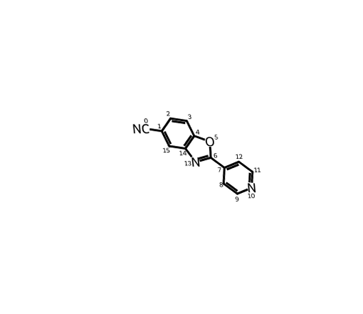 N#Cc1ccc2oc(-c3ccncc3)nc2c1